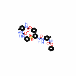 Cc1ccc(NC(=O)Oc2ccccc2)cc1NC(=O)Nc1cccc(S(=O)(=O)c2cccc(NC(=O)Nc3ccc(C)c(NC(=O)Oc4ccccc4)c3)c2)c1